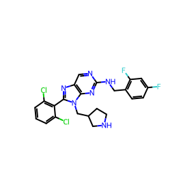 Fc1ccc(CNc2ncc3nc(-c4c(Cl)cccc4Cl)n(CC4CCNC4)c3n2)c(F)c1